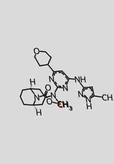 COC(=O)N1[C@@H]2CCC[C@H]1CC(N(C)c1nc(Nc3cc(C)[nH]n3)cc(C3CCOCC3)n1)C2